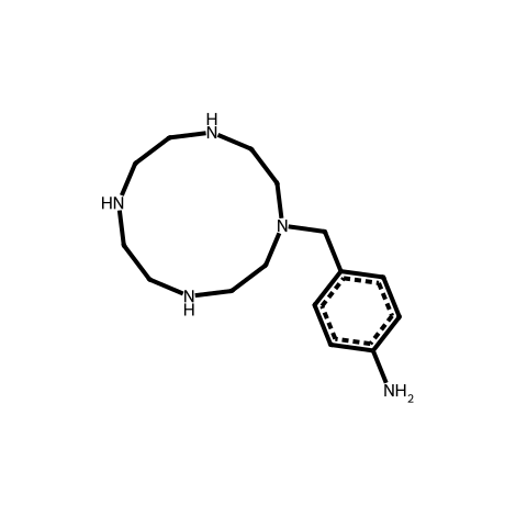 Nc1ccc(CN2CCNCCNCCNCC2)cc1